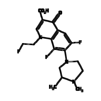 CC1CN(c2c(F)cc3c(=O)c(C(=O)O)cn(CCF)c3c2F)CCN1C